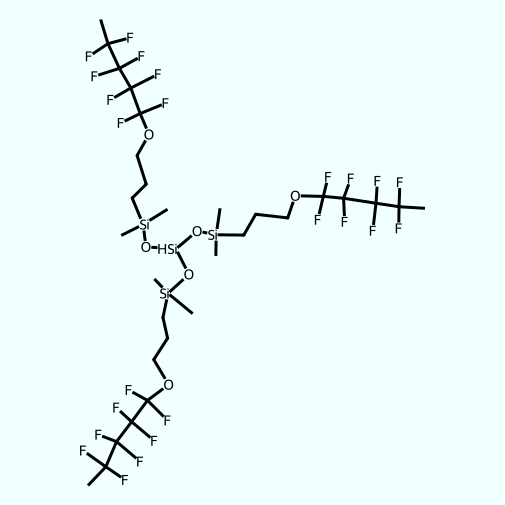 CC(F)(F)C(F)(F)C(F)(F)C(F)(F)OCCC[Si](C)(C)O[SiH](O[Si](C)(C)CCCOC(F)(F)C(F)(F)C(F)(F)C(C)(F)F)O[Si](C)(C)CCCOC(F)(F)C(F)(F)C(F)(F)C(C)(F)F